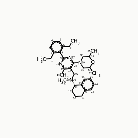 CCc1cccc(CC)c1-c1nc(C)c(CN(C)[C@H]2CCCc3ccccc32)c(N2CC(C)OC(C)C2)n1